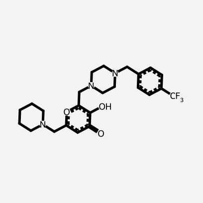 O=c1cc(CN2CCCCC2)oc(CN2CCN(Cc3ccc(C(F)(F)F)cc3)CC2)c1O